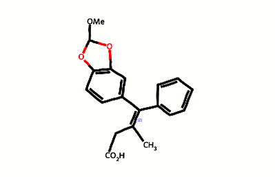 COC1Oc2ccc(/C(=C(/C)CC(=O)O)c3ccccc3)cc2O1